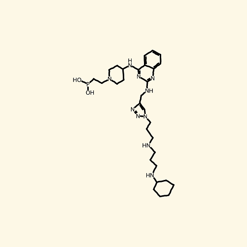 OP(O)CCN1CCC(Nc2nc(NCc3cn(CCCNCCCNC4CCCCC4)nn3)nc3ccccc23)CC1